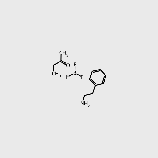 CCC(C)=O.FB(F)F.NCCc1ccccc1